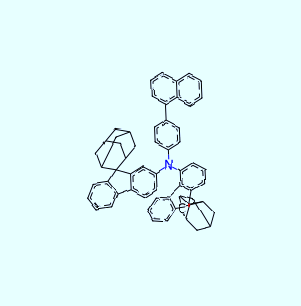 c1ccc2c(c1)-c1ccc(N(c3ccc(-c4cccc5ccccc45)cc3)c3cccc4c3-c3ccccc3C43C4CC5CC(C4)CC3C5)cc1C21C2CC3CC(C2)CC1C3